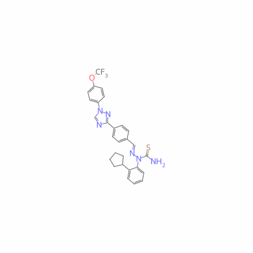 NC(=S)N(/N=C/c1ccc(-c2ncn(-c3ccc(OC(F)(F)F)cc3)n2)cc1)c1ccccc1C1CCCC1